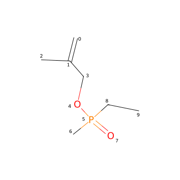 C=C(C)COP(C)(=O)CC